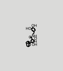 O=C(NCCc1ccc(O)c(O)c1)c1cc(C23CC4CC(CC(C4)C2)C3)c(O)cc1O